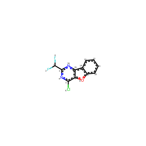 FC(F)c1nc(Cl)c2oc3ccccc3c2n1